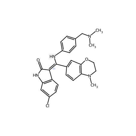 CN(C)Cc1ccc(N/C(=C2\C(=O)Nc3cc(Cl)ccc32)c2ccc3c(c2)OCCN3C)cc1